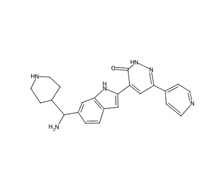 NC(c1ccc2cc(-c3cc(-c4ccncc4)n[nH]c3=O)[nH]c2c1)C1CCNCC1